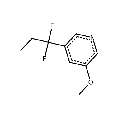 CCC(F)(F)c1cncc(OC)c1